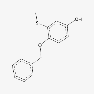 CSc1cc(O)ccc1OCc1ccccc1